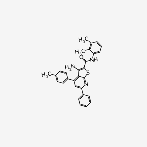 Cc1ccc(-c2cc(-c3ccccc3)nc3sc(C(=O)Nc4cccc(C)c4C)c(N)c23)cc1